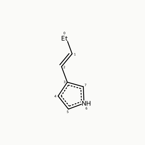 [CH2]CC=Cc1cc[nH]c1